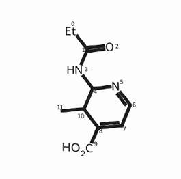 CCC(=O)NC1N=CC=C(C(=O)O)C1C